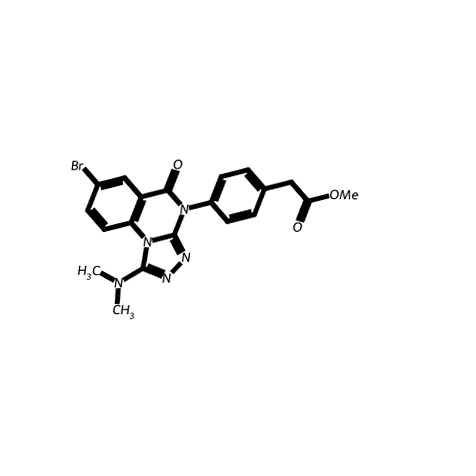 COC(=O)Cc1ccc(-n2c(=O)c3cc(Br)ccc3n3c(N(C)C)nnc23)cc1